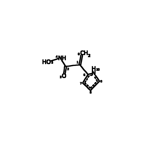 C=C(C(=O)NO)c1ccc[nH]1